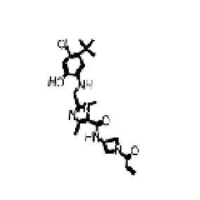 C=CC(=O)N1CC(NC(=O)c2c(C)nc(CNc3cc(C(C)(C)C)c(Cl)cc3O)n2C)C1